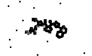 NS(=O)(=O)OC[C@H]1C[C@@H](Nc2ncncc2C(=O)c2cc([C@H]3OCCc4ccccc43)cs2)C[C@@H]1O